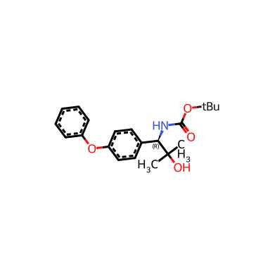 CC(C)(C)OC(=O)N[C@H](c1ccc(Oc2ccccc2)cc1)C(C)(C)O